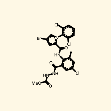 COC(=O)NNC(=O)c1cc(Cl)cc(C)c1NC(=O)c1cc(Br)cn1-c1c(Cl)cccc1Cl